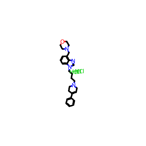 C1=C(c2ccccc2)CCN(CCCCn2cnc3c(CN4CCOCC4)cccc32)C1.Cl.Cl.Cl